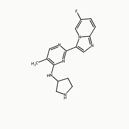 Cc1cnc(-c2cnc3ccc(F)cn23)nc1NC1CCNC1